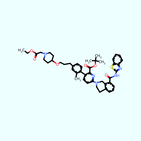 CCOC(=O)CN1CCC(OCCCc2ccc(-c3ccc(N4CCc5cccc(C(=O)Nc6nc7ccccc7s6)c5C4)nc3C(=O)OC(C)(C)C)c(C)c2)CC1